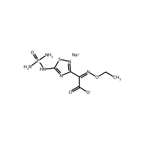 CCON=C(C(=O)[O-])c1nsc(NP(N)(N)=O)n1.[Na+]